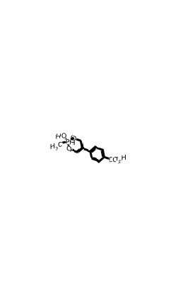 C[PH]1(O)OCC(c2ccc(C(=O)O)cc2)CO1